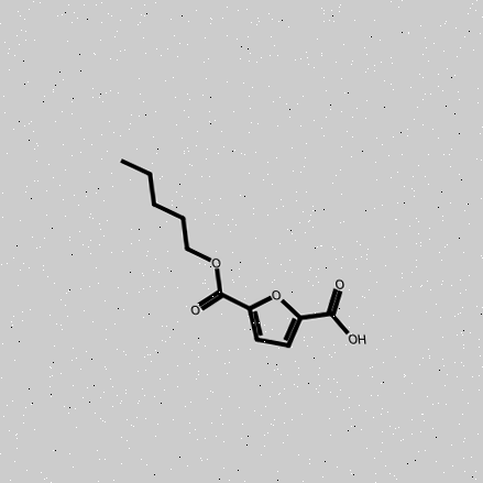 CCCCCOC(=O)c1ccc(C(=O)O)o1